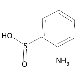 N.O=S(O)c1ccccc1